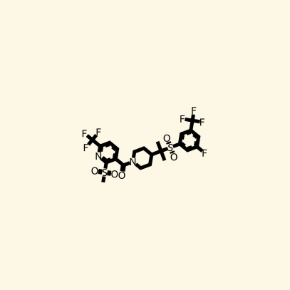 CC(C)(C1CCN(C(=O)c2ccc(C(F)(F)F)nc2S(C)(=O)=O)CC1)S(=O)(=O)c1cc(F)cc(C(F)(F)F)c1